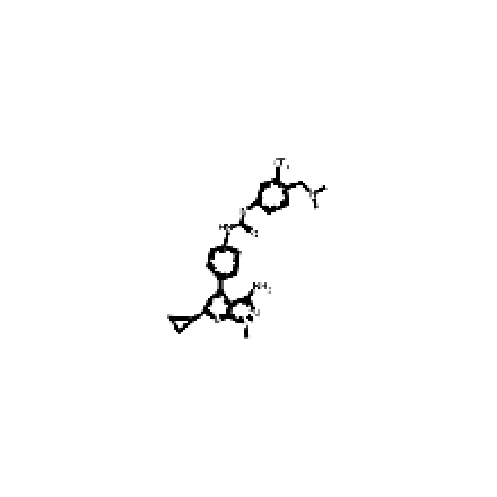 CN(C)Cc1ccc(NC(=O)Nc2ccc(-c3cc(C4CC4)nc4c3c(N)nn4C)cc2)cc1C(F)(F)F